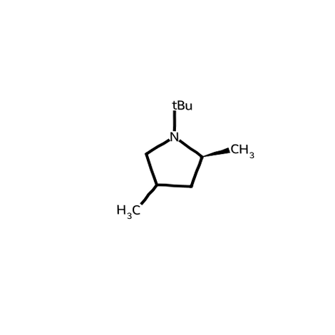 CC1C[C@H](C)N(C(C)(C)C)C1